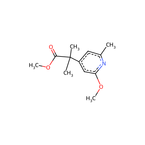 COC(=O)C(C)(C)c1cc(C)nc(OC)c1